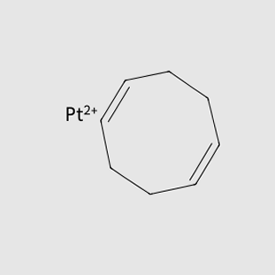 C1=CCCC=CCC1.[Pt+2]